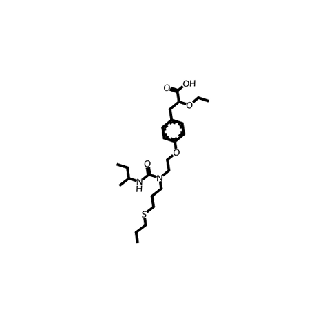 CCCSCCCN(CCOc1ccc(CC(OCC)C(=O)O)cc1)C(=O)NC(C)CC